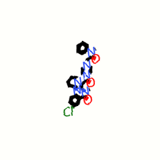 CN(C(=O)CN1CCN(C(=O)c2c(N(C)C(=O)c3cccc(Cl)c3)nc3n2CCCC3)CC1)c1ccccc1